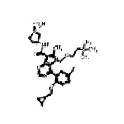 Cc1c(C(=O)N[C@@H]2CCN(C(=O)O)C2)c2ncnc(-c3cc(F)ccc3OCC3CC3)c2n1COCC[Si](C)(C)C